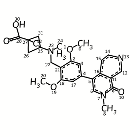 COc1cc(-c2cn(C)c(=O)c3cnccc23)cc(OC)c1CN(C)C12CC(C(=O)O)(C1)C2